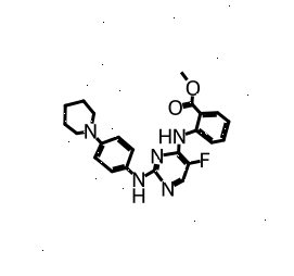 COC(=O)c1ccccc1Nc1nc(Nc2ccc(N3CCCCC3)cc2)ncc1F